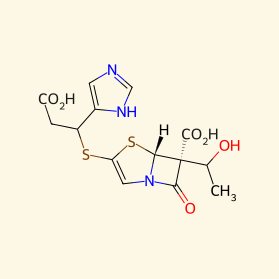 CC(O)[C@@]1(C(=O)O)C(=O)N2C=C(SC(CC(=O)O)c3cnc[nH]3)S[C@@H]21